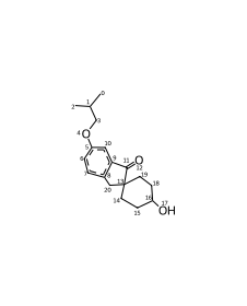 CC(C)COc1ccc2c(c1)C(=O)C1(CCC(O)CC1)C2